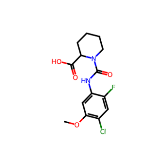 COc1cc(NC(=O)N2CCCCC2C(=O)O)c(F)cc1Cl